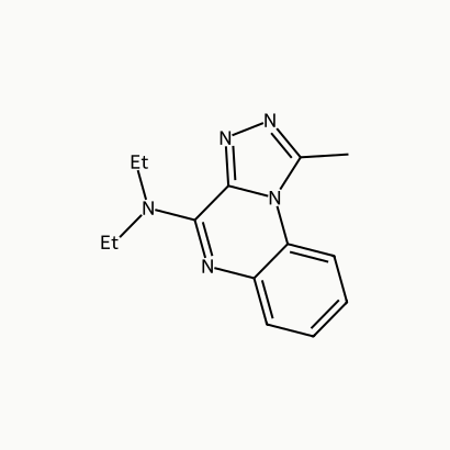 CCN(CC)c1nc2ccccc2n2c(C)nnc12